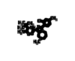 Cc1ccc(-c2nc(C(=O)N[C@H](C(N)=O)C(C)(C)C)c3n2CCCN(C)C3)c(Cl)c1